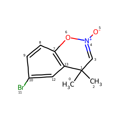 CC1(C)C=[N+]([O-])Oc2ccc(Br)cc21